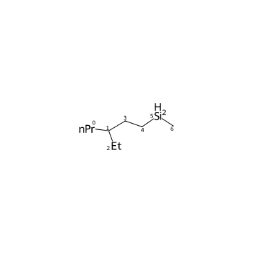 CCCC(CC)CC[SiH2]C